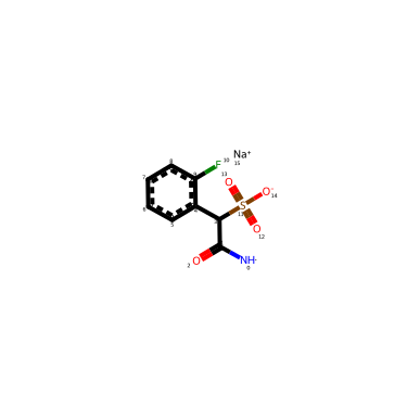 [NH]C(=O)C(c1ccccc1F)S(=O)(=O)[O-].[Na+]